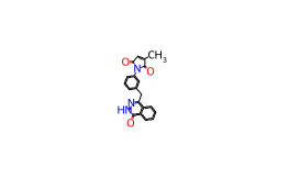 CC1=CC(=O)N(c2cccc(Cc3n[nH]c(=O)c4ccccc34)c2)C1=O